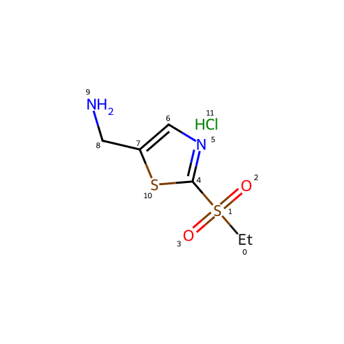 CCS(=O)(=O)c1ncc(CN)s1.Cl